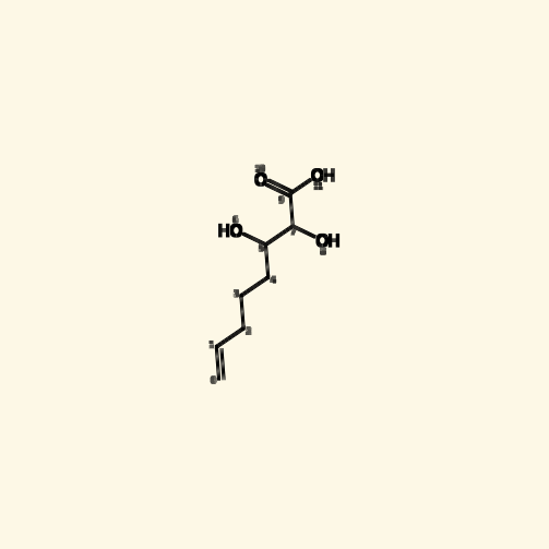 C=CCCCC(O)C(O)C(=O)O